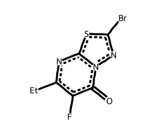 CCc1nc2sc(Br)nn2c(=O)c1F